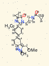 COCc1c2cc(-c3ccc(C4=NC5(CC5)C(=O)N4CC4CN(C(=O)C5CC5)C4)c(C)c3)ccc2nn1C